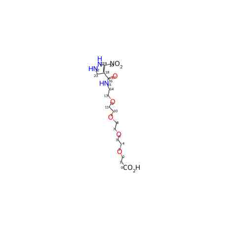 O=C(O)CCOCCOCCOCCOCCNC(=O)C1=C([N+](=O)[O-])NNC1